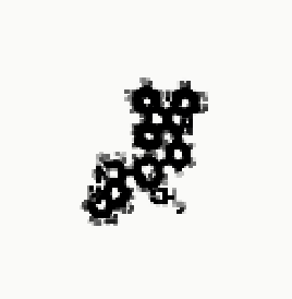 C=C1C=C(c2cccc(-c3nc4ccccc4c4c5ccccc5c5ccccc5c34)c2)C=CC(c2ccnc3c2ccc2cccnc23)=C1